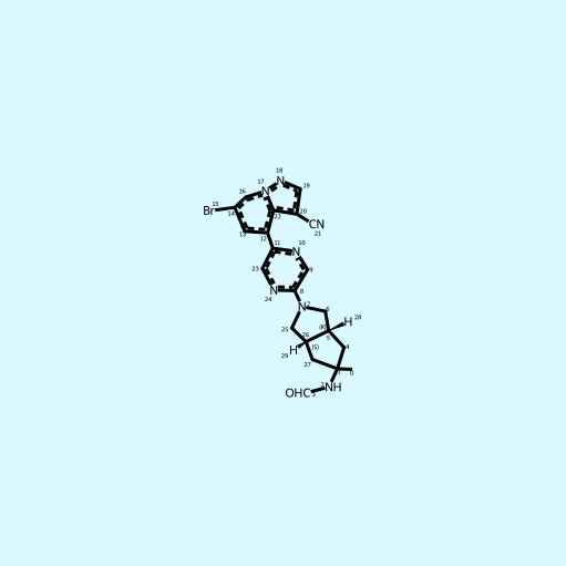 CC1(NC=O)C[C@H]2CN(c3cnc(-c4cc(Br)cn5ncc(C#N)c45)cn3)C[C@H]2C1